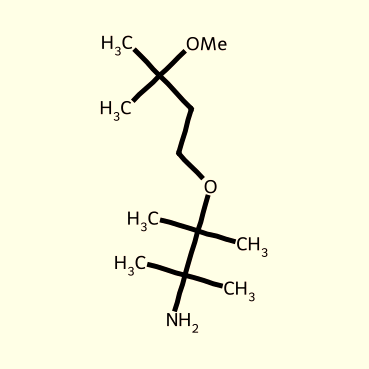 COC(C)(C)CCOC(C)(C)C(C)(C)N